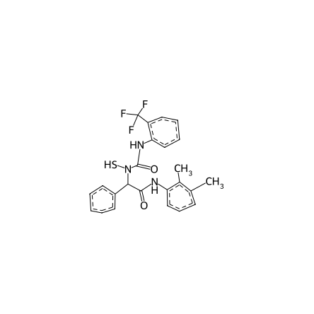 Cc1cccc(NC(=O)C(c2ccccc2)N(S)C(=O)Nc2ccccc2C(F)(F)F)c1C